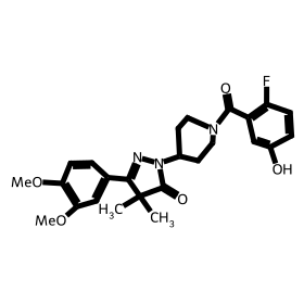 COc1ccc(C2=NN(C3CCN(C(=O)c4cc(O)ccc4F)CC3)C(=O)C2(C)C)cc1OC